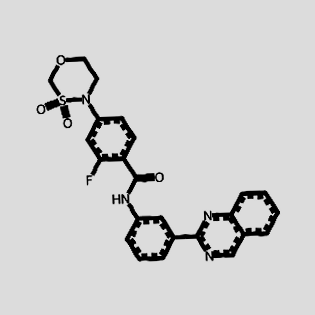 O=C(Nc1cccc(-c2ncc3ccccc3n2)c1)c1ccc(N2CCOCS2(=O)=O)cc1F